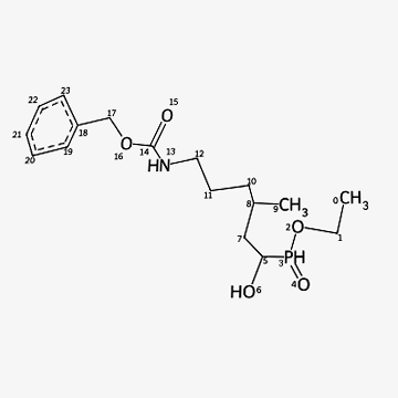 CCO[PH](=O)C(O)CC(C)CCCNC(=O)OCc1ccccc1